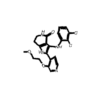 COCCOc1cnccc1-c1[nH]c2c(c1Nc1cccc(Cl)c1Cl)C(=O)NCC2